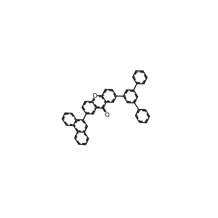 O=c1c2cc(-c3cc(-c4ccccc4)cc(-c4ccccc4)c3)ccc2oc2ccc(-c3cc4ccccc4c4ccccc34)cc12